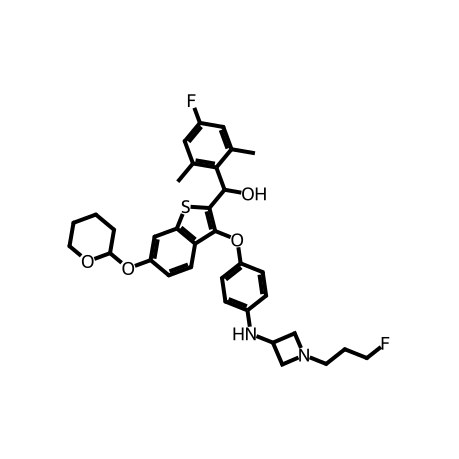 Cc1cc(F)cc(C)c1C(O)c1sc2cc(OC3CCCCO3)ccc2c1Oc1ccc(NC2CN(CCCF)C2)cc1